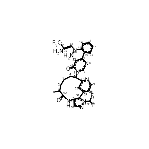 CC1CCCC(n2cnc(-c3ccccc3N(N)/C=C(\N)C(F)(F)F)cc2=O)c2cc(ccn2)-c2c(cnn2C(F)F)NC1=O